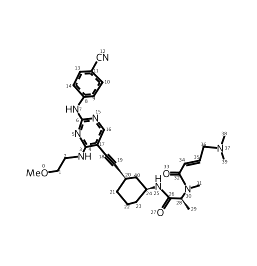 COCCNc1nc(Nc2ccc(C#N)cc2)ncc1C#C[C@@H]1CCC[C@H](NC(=O)[C@H](C)N(C)C(=O)/C=C/CN(C)C)C1